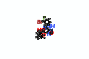 CC(C)[Si](OCc1nonc1C(=NO)Nc1ccc(F)c(Br)c1)(C(C)C)C(C)C